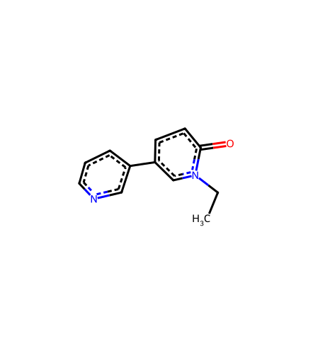 CCn1cc(-c2cccnc2)ccc1=O